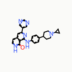 O=c1[nH]ccc2cc(-c3cncnc3)nc(Nc3ccc(C4CCN(C5CC5)CC4)cc3)c12